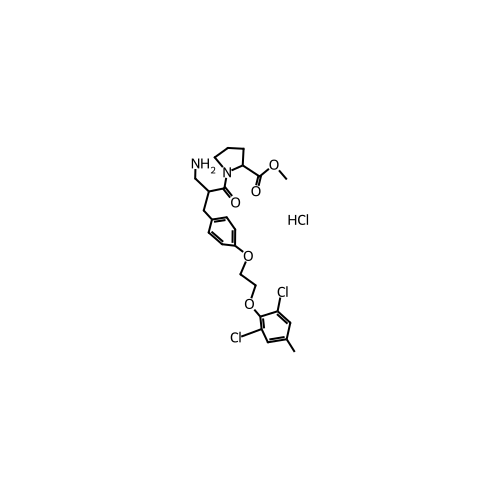 COC(=O)C1CCCN1C(=O)C(CN)Cc1ccc(OCCOc2c(Cl)cc(C)cc2Cl)cc1.Cl